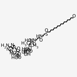 CC(C)(COP(=O)(O)OP(=O)(O)OC[C@H]1O[C@@H](n2cnc3c(N)ncnc32)[C@H](O)[C@@H]1OP(=O)(O)O)[C@@H](O)C(=O)NCCC(=O)NCCSC(=O)CCCCCCCCCCCCCCC=O